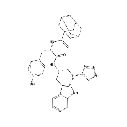 O=C(N[C@H](CNc1nn[nH]n1)Cc1n[nH]c2ccccc12)[C@H](Cc1ccc(O)cc1)NC(=O)C12CC3CC(CC(C3)C1)C2